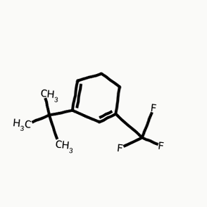 CC(C)(C)C1=CCCC(C(F)(F)F)=C1